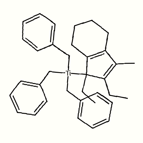 CCC1=C(C)C2=C(CCCC2)[C]1(CC)[Ti]([CH2]c1ccccc1)([CH2]c1ccccc1)[CH2]c1ccccc1